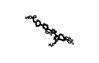 CCn1nc(-c2nc(-c3ccc(C4CCN(CC(=O)O)CC4)cc3C)no2)c2c1CC(C)(C)CC2